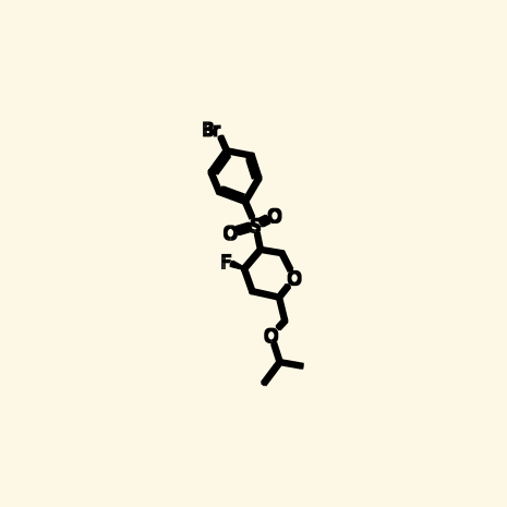 CC(C)OCC1C[C@@H](F)C(S(=O)(=O)c2ccc(Br)cc2)CO1